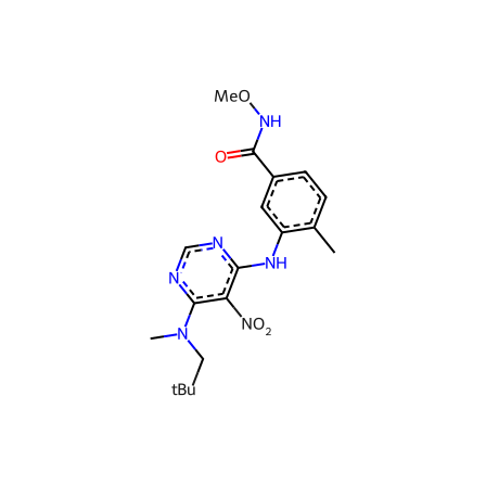 CONC(=O)c1ccc(C)c(Nc2ncnc(N(C)CC(C)(C)C)c2[N+](=O)[O-])c1